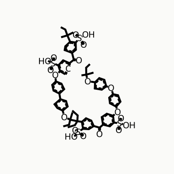 CCC(C)(C)Oc1ccc(Oc2ccc(Oc3ccc(C(=O)c4ccc(C(CC)(CC)C(C)(CC)Oc5ccc(-c6ccc(Oc7ccc(C(=O)c8ccc(C(C)(C)CC)c(S(=O)(=O)O)c8)cc7S(=O)(=O)O)cc6)cc5)c(S(=O)(=O)O)c4)cc3S(=O)(=O)O)cc2)cc1